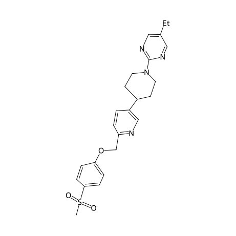 CCc1cnc(N2CCC(c3ccc(COc4ccc(S(C)(=O)=O)cc4)nc3)CC2)nc1